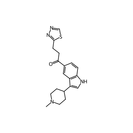 CN1CCC(c2c[nH]c3ccc(C(=O)CCc4nncs4)cc23)CC1